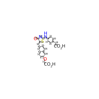 O=C(O)COc1ccc2cc(/C=C3\SC(Nc4ccc(CC(=O)O)cc4)=NC3=O)ccc2c1